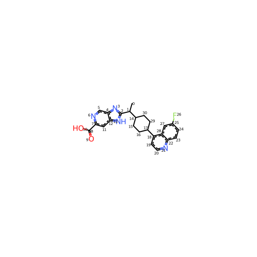 CC(c1nc2cnc(C(=O)O)cc2[nH]1)C1CCC(c2ccnc3ccc(F)cc23)CC1